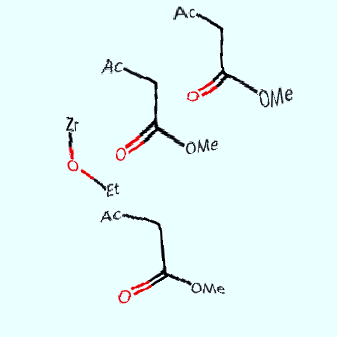 CC[O][Zr].COC(=O)CC(C)=O.COC(=O)CC(C)=O.COC(=O)CC(C)=O